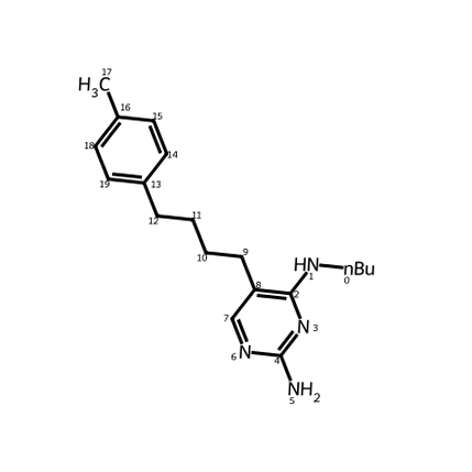 CCCCNc1nc(N)ncc1CCCCc1ccc(C)cc1